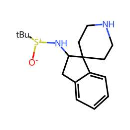 CC(C)(C)[S+]([O-])NC1Cc2ccccc2C12CCNCC2